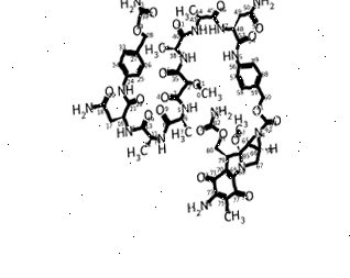 COC(C(=O)N[C@@H](C)C(=O)N[C@@H](C)C(=O)N[C@@H](CC(N)=O)C(=O)Nc1ccc(COC(N)=O)cc1)C(=O)N[C@@H](C)C(=O)N[C@@H](C)C(=O)N[C@@H](CC(N)=O)C(=O)Nc1ccc(COC(=O)N2C3[C@@H]2CN2C4=C(C(=O)C(N)=C(C)C4=O)[C@@H](COC(N)=O)[C@@]32OC)cc1